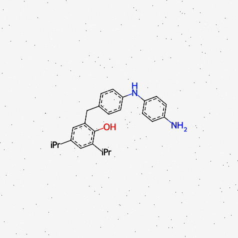 CC(C)c1cc(Cc2ccc(Nc3ccc(N)cc3)cc2)c(O)c(C(C)C)c1